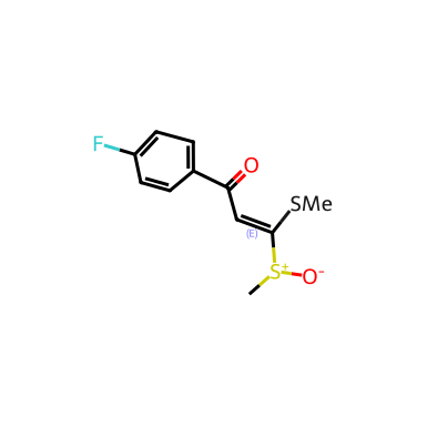 CS/C(=C\C(=O)c1ccc(F)cc1)[S+](C)[O-]